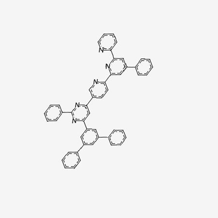 c1ccc(-c2cc(-c3ccccc3)cc(-c3cc(-c4ccc(-c5cc(-c6ccccc6)cc(-c6ccccn6)n5)nc4)nc(-c4ccccc4)n3)c2)cc1